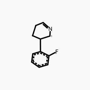 Fc1ccccc1C1[C]N=CCC1